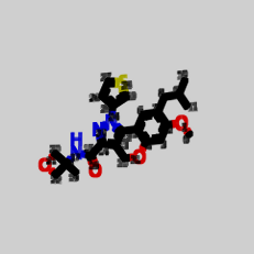 COc1cc2c(cc1CC(C)C)-c1c(c(C(=O)NC3(C)COC3)nn1-c1ccsc1)CO2